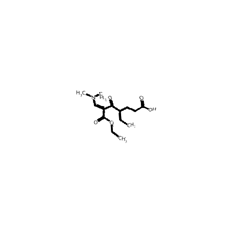 CCOC(=O)C(=CN(C)C)C(=O)C(CC)CCC(=O)O